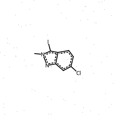 Cn1nc2cc(Cl)ccc2c1I